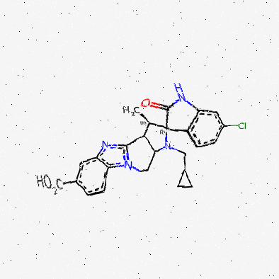 C[C@@H]1C2c3nc4cc(C(=O)O)ccc4n3CC2N(CC2CC2)[C@]12C(=O)Nc1cc(Cl)ccc12